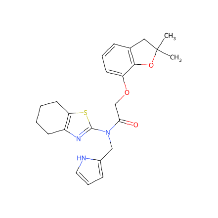 CC1(C)Cc2cccc(OCC(=O)N(Cc3ccc[nH]3)c3nc4c(s3)CCCC4)c2O1